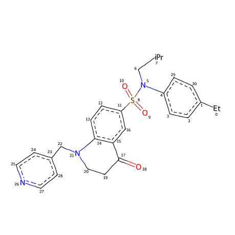 CCc1ccc(N(CC(C)C)S(=O)(=O)c2ccc3c(c2)C(=O)CCN3Cc2ccncc2)cc1